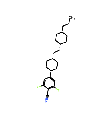 CCC[C@H]1CC[C@H](CC[C@H]2CC[C@H](c3cc(F)c(C#N)c(F)c3)CC2)CC1